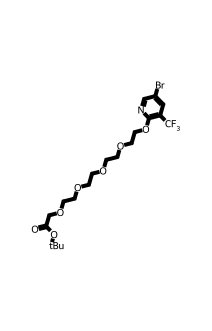 CC(C)(C)OC(=O)COCCOCCOCCOCCOc1ncc(Br)cc1C(F)(F)F